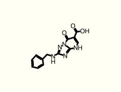 O=C(O)c1c[nH]c2nc(NCc3ccccc3)nn2c1=O